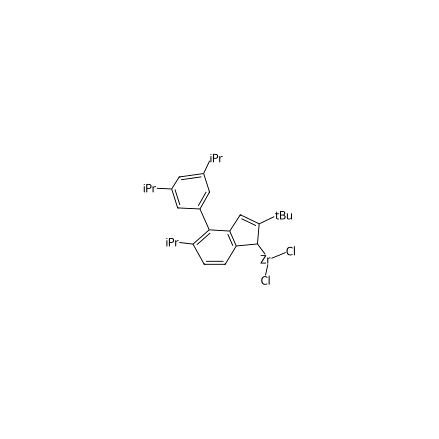 CC(C)c1cc(-c2c(C(C)C)ccc3c2C=C(C(C)(C)C)[CH]3[Zr]([Cl])[Cl])cc(C(C)C)c1